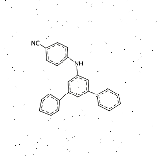 N#Cc1ccc(Nc2cc(-c3ccccc3)cc(-c3ccccc3)c2)cc1